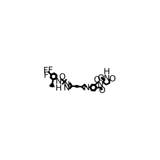 CC(C)(C(=O)Nc1ccc(C(F)(F)F)cc1C1C#C1)n1cc(C#CC2CN(c3ccc4c(c3)C(=O)N(C3CCC(=O)NC3=O)C4=O)C2)cn1